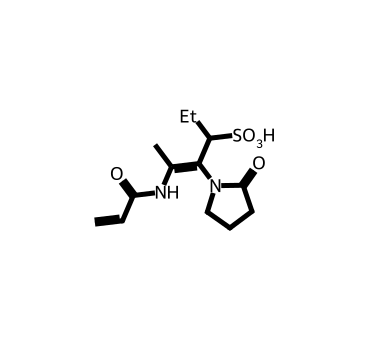 C=CC(=O)NC(C)=C(C(CC)S(=O)(=O)O)N1CCCC1=O